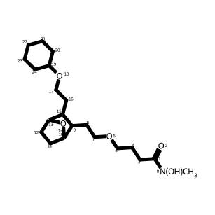 CN(O)C(=O)CCCOCCC1C2CCC(O2)C1CCOC1CCCCC1